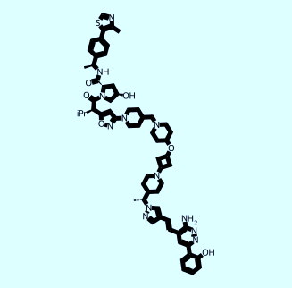 Cc1ncsc1-c1ccc([C@H](C)NC(=O)[C@@H]2C[C@@H](O)CN2C(=O)[C@@H](c2cc(N3CCC(CN4CCC(OC5CC(N6CCC([C@@H](C)n7cc(/C=C/c8cc(-c9ccccc9O)nnc8N)cn7)CC6)C5)CC4)CC3)no2)C(C)C)cc1